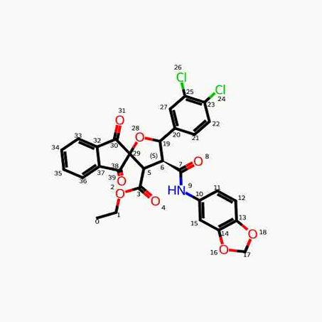 CCOC(=O)C1[C@H](C(=O)Nc2ccc3c(c2)OCO3)C(c2ccc(Cl)c(Cl)c2)OC12C(=O)c1ccccc1C2=O